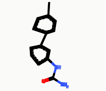 Cc1ccc(-c2cccc(NC(N)=O)c2)cc1